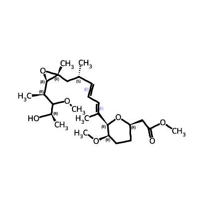 COC(=O)C[C@H]1CC[C@@H](OC)[C@@H](/C(C)=C/C=C/[C@@H](C)C[C@@]2(C)O[C@@H]2[C@H](C)C(OC)[C@@H](C)O)O1